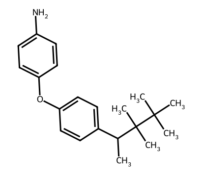 CC(c1ccc(Oc2ccc(N)cc2)cc1)C(C)(C)C(C)(C)C